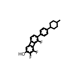 CC1CCC(c2ccc(-c3ccc4c(c3F)-c3c-4cc(O)c(F)c3F)cc2)CC1